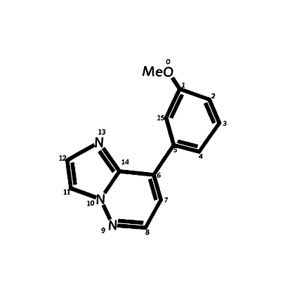 COc1cccc(-c2ccnn3ccnc23)c1